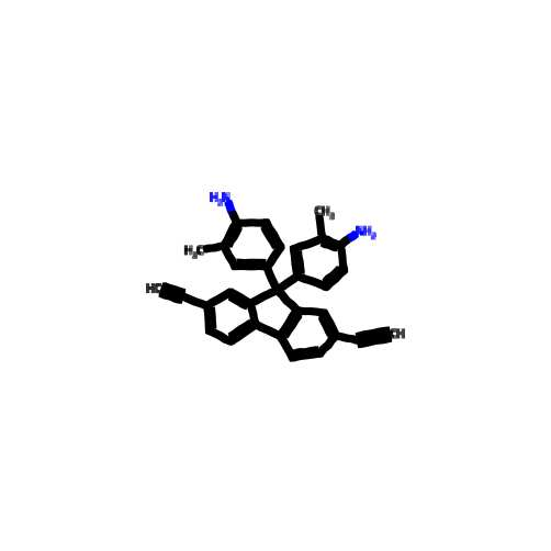 C#Cc1ccc2c(c1)C(c1ccc(N)c(C)c1)(c1ccc(N)c(C)c1)c1cc(C#C)ccc1-2